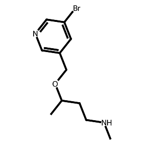 CNCCC(C)OCc1cncc(Br)c1